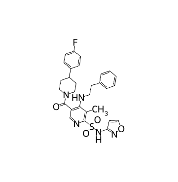 Cc1c(S(=O)(=O)Nc2ccon2)ncc(C(=O)N2CCC(c3ccc(F)cc3)CC2)c1NCCc1ccccc1